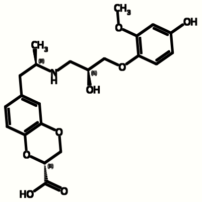 COc1cc(O)ccc1OC[C@@H](O)CN[C@H](C)Cc1ccc2c(c1)OC[C@H](C(=O)O)O2